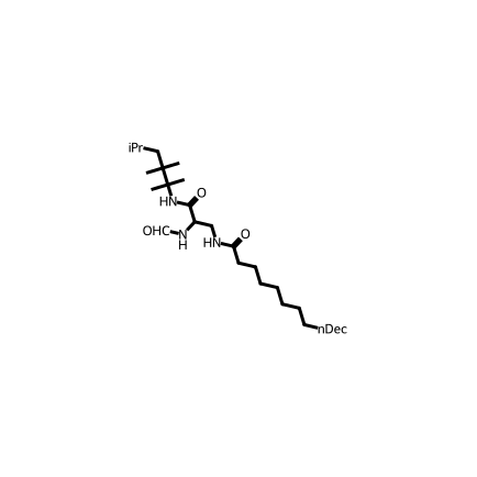 CCCCCCCCCCCCCCCCCC(=O)NCC(NC=O)C(=O)NC(C)(C)C(C)(C)CC(C)C